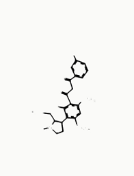 COc1cc(OC)c(C2CCN(C)C2COC(C)=O)c(O)c1C(=O)CC(=O)c1cccc(Cl)c1